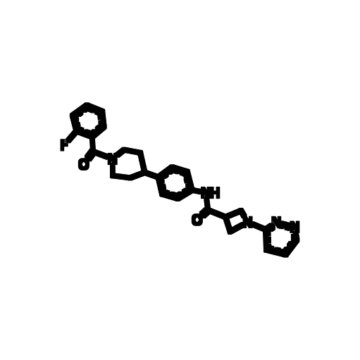 O=C(Nc1ccc(C2CCN(C(=O)c3ccccc3F)CC2)cc1)C1CN(c2cccnn2)C1